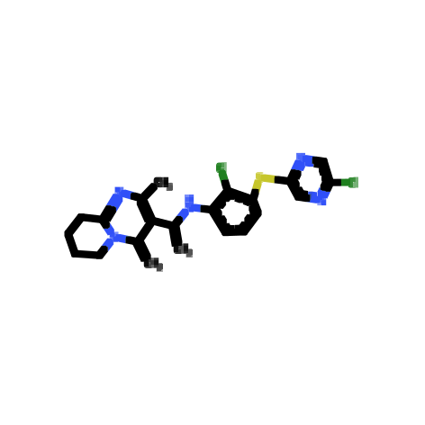 C=C(Nc1cccc(Sc2cnc(Cl)cn2)c1Cl)C1=C(C)N=C2CCCCN2C1=C